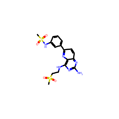 CS(=O)(=O)CCNc1nc(N)nc2ccc(-c3cccc(NS(C)(=O)=O)c3)nc12